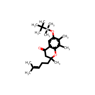 CC(C)=CCCC1(C)CC(=O)c2cc(O[Si](C)(C)C(C)(C)C)c(C)c(C)c2O1